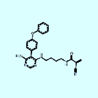 C=C(C#N)C(=O)NCCCCNc1ncnc(N)c1-c1ccc(Oc2ccccc2)cc1